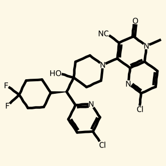 Cn1c(=O)c(C#N)c(N2CCC(O)([C@@H](c3ccc(Cl)cn3)C3CCC(F)(F)CC3)CC2)c2nc(Cl)ccc21